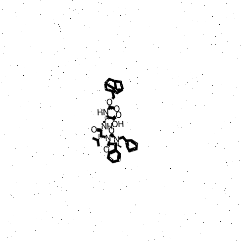 CC(C)[C@H](C(=O)NC[C@H](NC(=O)OCC12CC3CC(CC(C3)C1)C2)C(=O)O)N1C(=O)N(Cc2ccccc2)[C@](C)(c2ccccc2)C1=O